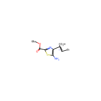 CC/C=C(\C(=O)O)c1nc(C(=O)OC(C)(C)C)sc1N